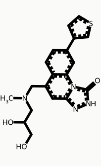 CN(Cc1cc2n[nH]c(=O)n2c2cc(-c3ccsc3)ccc12)CC(O)CO